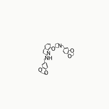 c1cc(O[C@H]2CCN(Cc3ccc4c(c3)OCCO4)C2)c2nc(NCc3ccc4c(c3)OCCO4)ccc2c1